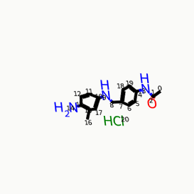 CC(=O)Nc1ccc(CNc2ccc(N)c(C)c2)cc1.Cl